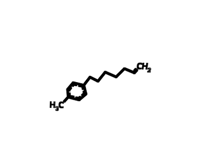 C=CCCCCCc1ccc(C)cc1